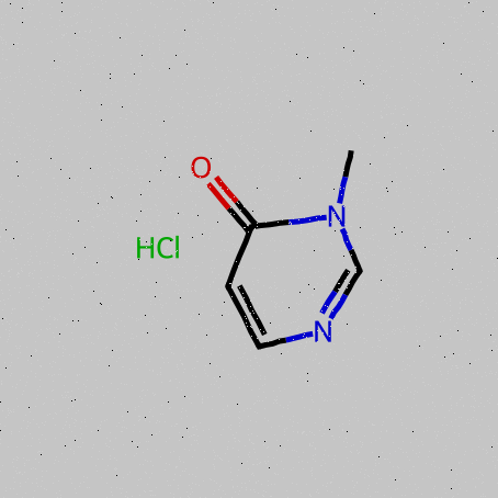 Cl.Cn1cnccc1=O